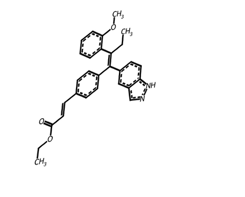 CCOC(=O)/C=C/c1ccc(/C(=C(/CC)c2ccccc2OC)c2ccc3[nH]ncc3c2)cc1